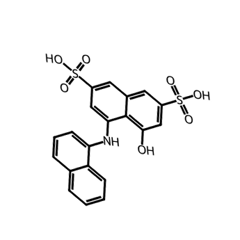 O=S(=O)(O)c1cc(O)c2c(Nc3cccc4ccccc34)cc(S(=O)(=O)O)cc2c1